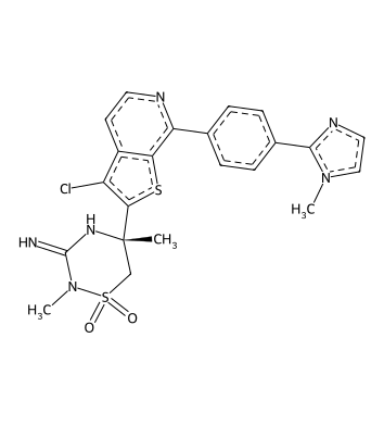 CN1C(=N)N[C@](C)(c2sc3c(-c4ccc(-c5nccn5C)cc4)nccc3c2Cl)CS1(=O)=O